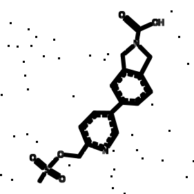 CS(=O)(=O)OCc1ccc(-c2ccc3c(c2)CN(C(=O)O)C3)cn1